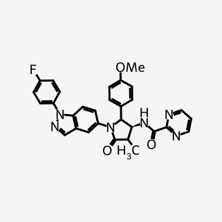 COc1ccc(C2[C@@H](NC(=O)c3ncccn3)C(C)C(=O)N2c2ccc3c(cnn3-c3ccc(F)cc3)c2)cc1